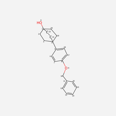 OC12CCC(c3ccc(OCc4ccccc4)cc3)(CC1)CC2